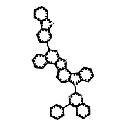 c1ccc(-c2nc(-n3c4ccccc4c4c5oc6cc(-c7ccc8c(c7)oc7ccccc78)c7ccccc7c6c5ccc43)nc3ccccc23)cc1